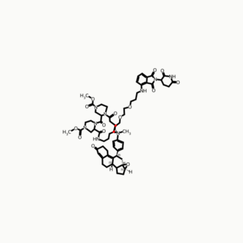 COC(=O)N1CCN(C(=O)CCCN(C)c2ccc([C@H]3C[C@]45O[C@H]4CCC5[C@@H]4CCC5=CC(=O)CCC5=C43)cc2)C(C(=O)N2CCN(C(=O)OC)CC2C(=O)NCCCOCCOCCOCCCNc2cccc3c2C(=O)N(C2CCC(=O)NC2=O)C3=O)C1